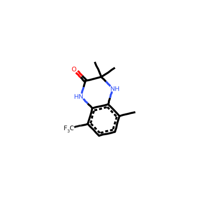 Cc1ccc(C(F)(F)F)c2c1NC(C)(C)C(=O)N2